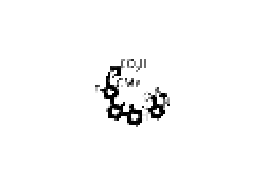 COc1cc(-c2cccc(-c3cccc(Nc4cccc5ncn(C)c(=O)c45)c3C)c2C)cc(F)c1CN1CC(C(=O)O)C1